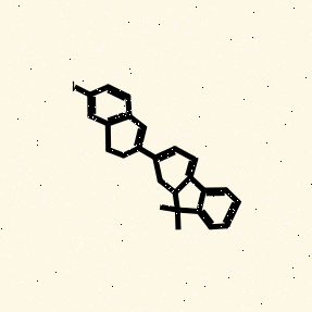 CC1(C)c2ccccc2C2=CC=C(C3=Cc4ccc(I)cc4CC3)CC21